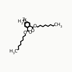 CCCCCCCCOC(=O)c1ccccc1C(=O)OCCCCCCCC.O.[Zr]